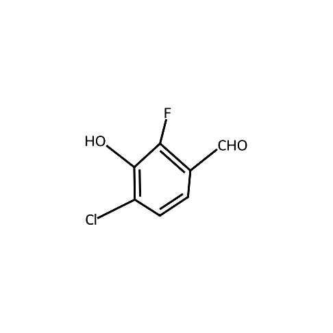 O=Cc1ccc(Cl)c(O)c1F